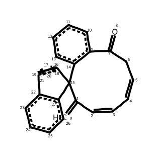 C=C1/C=C\C=C/CC(=O)c2ccccc2C12c1ccccc1-c1ccccc12